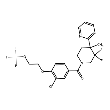 CC1(c2ccccn2)CCN(C(=O)c2ccc(OCCOC(F)(F)F)c(Cl)c2)CC1(F)F